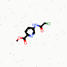 COC(=O)c1ccc(NC(=O)CCl)cn1